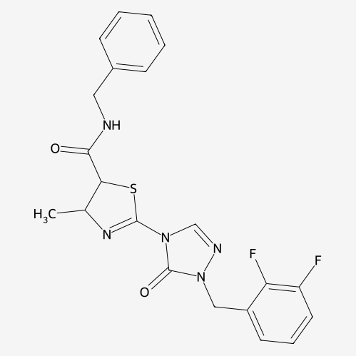 CC1N=C(n2cnn(Cc3cccc(F)c3F)c2=O)SC1C(=O)NCc1ccccc1